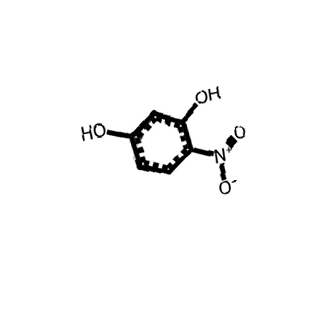 O=[N+]([O-])c1ccc(O)cc1O